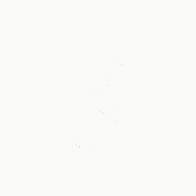 CCCc1cc(-c2nc(-c3ccc(NSC(F)(F)F)cc3C(F)(F)F)cs2)ccn1